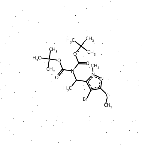 COc1nn(C)c(C(C)N(C(=O)OC(C)(C)C)C(=O)OC(C)(C)C)c1Br